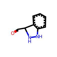 O=CC1NNc2ccccc21